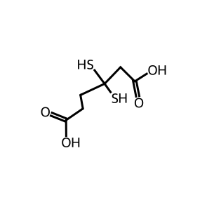 O=C(O)CCC(S)(S)CC(=O)O